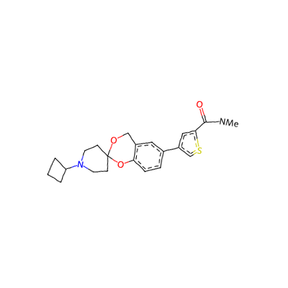 CNC(=O)c1cc(-c2ccc3c(c2)COC2(CCN(C4CCC4)CC2)O3)cs1